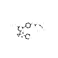 CC(C)(CO)NC(=O)Nc1ccc(-c2nc(N)cc(C3(S(=O)(=O)c4ccncc4)CC3)n2)cc1